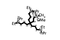 CCCN(CC)CCCC(CCCN(CC)CCC)(CCCN(CC)CCC)CC[Si](C)(CC)OC